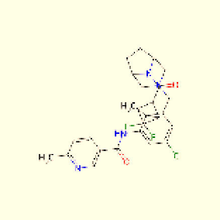 Cc1ccc(C(=O)Nc2cc(Cl)cc(CN3CC4CCC(C3)N4C(=O)C3CC(F)(F)C3)c2C)cn1